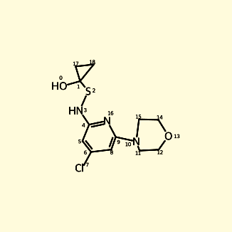 OC1(SNc2cc(Cl)cc(N3CCOCC3)n2)CC1